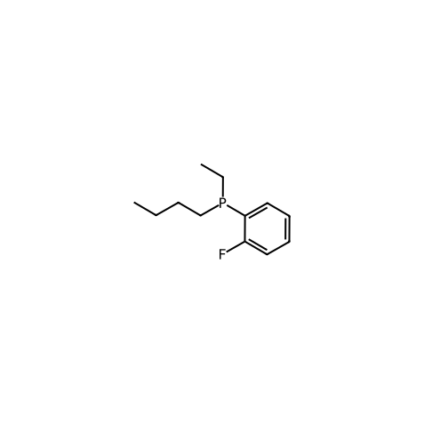 CCCCP(CC)c1ccccc1F